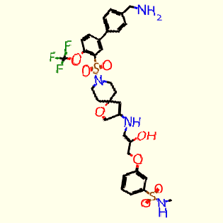 CNS(=O)(=O)c1cccc(OCC(O)CNC2COC3(CCN(S(=O)(=O)c4cc(-c5ccc(CN)cc5)ccc4OC(F)(F)F)CC3)C2)c1